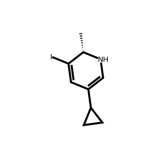 C[C@@H]1NC=C(C2CC2)C=C1I